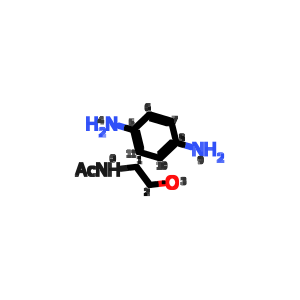 CC(=O)NCC[O].Nc1ccc(N)cc1